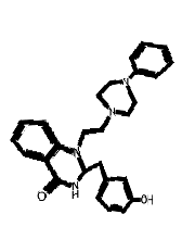 O=C1NC(Cc2cccc(O)c2)N(CCN2CCN(c3ccccc3)CC2)c2ccccc21